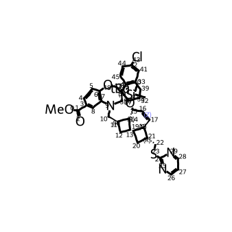 COC(=O)c1ccc2c(c1)N(C[C@@H]1CC[C@H]1C(/C=C\[C@@H]1CC[C@H]1CSc1ncccn1)O[Si](C)(C)C(C)(C)C)C[C@@]1(CCCc3cc(Cl)ccc31)CO2